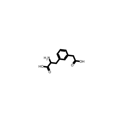 NC(Cc1cccc(CC(=O)O)c1)C(=O)O